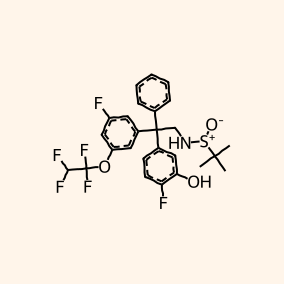 CC(C)(C)[S+]([O-])NCC(c1ccccc1)(c1cc(F)cc(OC(F)(F)C(F)F)c1)c1ccc(F)c(O)c1